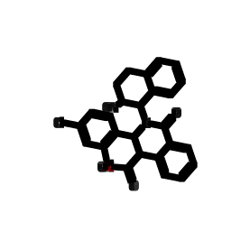 O=NC(=O)C1c2ccccc2C(=O)N(C2c3ccccc3CCC2N=O)C1c1ccc(Cl)cc1Cl